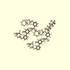 C[C@H]1CN(Cc2cccc(-c3cc(CNC(=O)c4cccc(CN5CC[N+]6(CCCCCC6)CC5)c4)ccc3F)c2)CCN1.C[C@H]1CN(Cc2cccc(-c3cc(CNC(=O)c4cccc(CN5CC[N+]6(CCCCCC6)CC5)c4)ccc3F)c2)CCN1.O=C([O-])C(F)(F)F.O=C([O-])C(F)(F)F